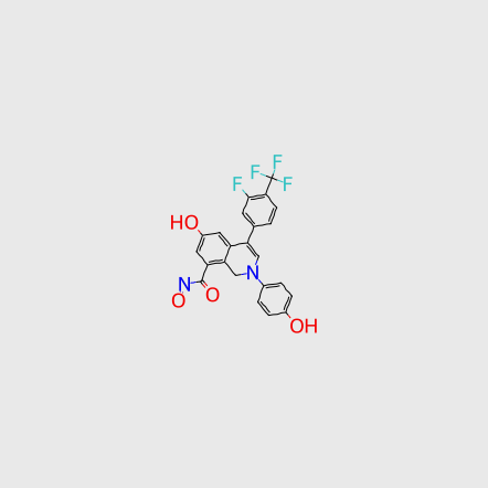 O=NC(=O)c1cc(O)cc2c1CN(c1ccc(O)cc1)C=C2c1ccc(C(F)(F)F)c(F)c1